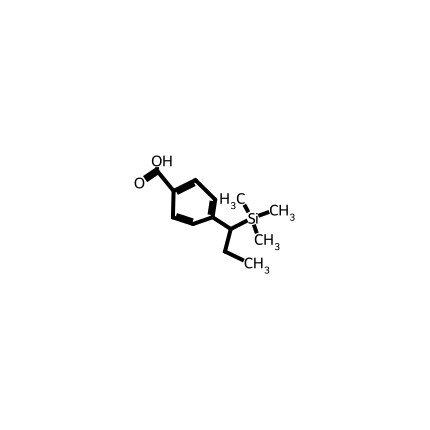 CCC(c1ccc(C(=O)O)cc1)[Si](C)(C)C